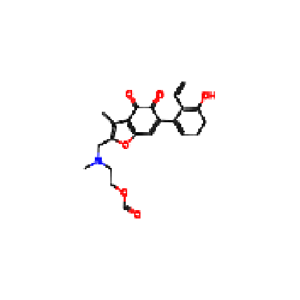 C=CC1=C(O)CCC=C1C1=Cc2oc(CN(C)CCOC=O)c(C)c2C(=O)C1=O